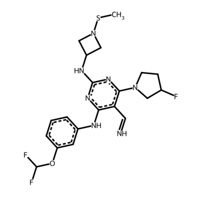 CSN1CC(Nc2nc(Nc3cccc(OC(F)F)c3)c(C=N)c(N3CCC(F)C3)n2)C1